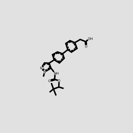 CC(OC(=O)Nc1c(-c2ccc(-c3ccc(CC(=O)O)cc3)cc2)cnn1C)C(C)(C)C